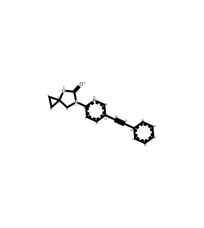 O=C1OC2(CC2)CN1c1ccc(C#Cc2ccccc2)cn1